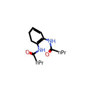 CCCC(=O)NC1=C(NC(=O)CCC)CCC=C1